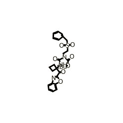 CC(C)(C)OC(=O)N(CCS(=O)(=O)Cc1ccccc1)C(=O)NC1(C(=O)c2nc3ccccc3o2)CCC1